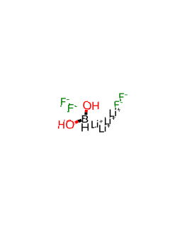 OBO.[F-].[F-].[F-].[F-].[Li+].[Li+].[Li+].[Li+]